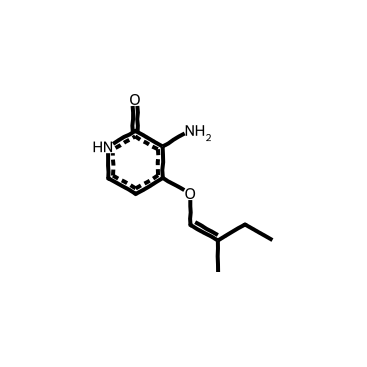 CC/C(C)=C\Oc1cc[nH]c(=O)c1N